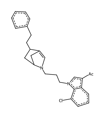 CC(=O)c1cn(CCCN2C=C3CC2CC3CCc2ccccc2)c2c(Cl)cccc12